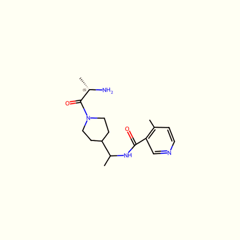 Cc1ccncc1C(=O)NC(C)C1CCN(C(=O)[C@H](C)N)CC1